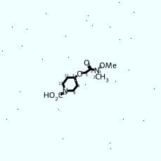 CON(C)C(=O)COC1CCN(C(=O)O)CC1